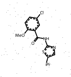 COc1ccc(Cl)cc1C(=O)Nc1ncc(C(C)C)s1